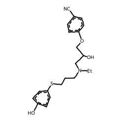 CCN(CCCSc1ccc(O)cc1)CC(O)COc1ccc(C#N)cc1